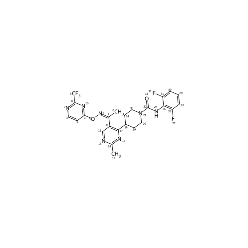 CC(=NOc1ccnc(C(F)(F)F)n1)c1cnc(C)nc1C1CCN(C(=O)Nc2c(F)cccc2F)CC1